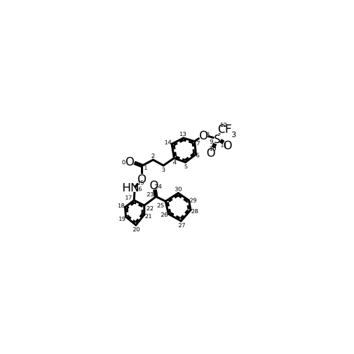 O=C(CCc1ccc(OS(=O)(=O)C(F)(F)F)cc1)ONc1ccccc1C(=O)c1ccccc1